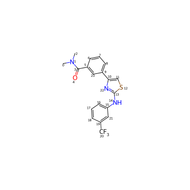 CN(C)C(=O)c1cccc(-c2csc(Nc3cccc(C(F)(F)F)c3)n2)c1